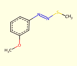 COc1cccc(N=NSC)c1